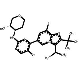 CC(C)c1c(C(C)(C)O)nc2c(F)cc(-c3nc(N[C@@H]4CCOC[C@H]4O)ncc3Cl)cn12